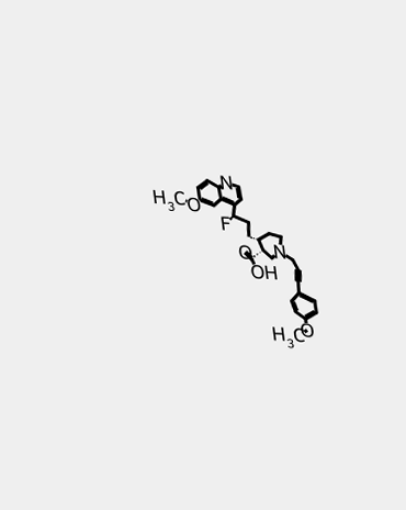 COc1ccc(C#CCN2CC[C@@H](CC[C@@H](F)c3ccnc4ccc(OC)cc34)[C@@H](C(=O)O)C2)cc1